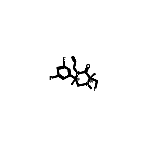 C=CCN1C(=O)[C@](C)(CF)N(C)C[C@]1(C)c1cc(F)cc(F)c1